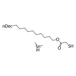 CCCCCCCCCCCCCCCCCCCCOC(=O)CS.[CH3][SnH]([CH3])[CH3]